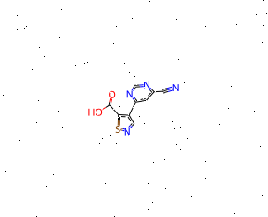 N#Cc1cc(-c2cnsc2C(=O)O)ncn1